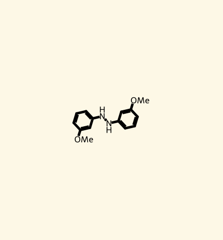 COc1cccc(NNc2cccc(OC)c2)c1